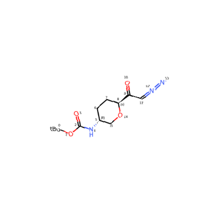 CC(C)(C)OC(=O)N[C@@H]1CC[C@@H](C(=O)C=[N+]=[N-])OC1